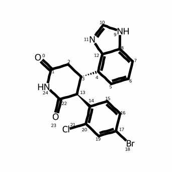 O=C1C[C@H](c2cccc3[nH]cnc23)[C@@H](c2ccc(Br)cc2Cl)C(=O)N1